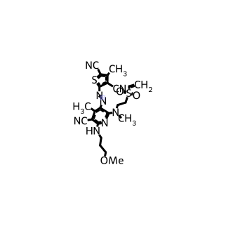 C=CS(=O)(=O)CCN(C)c1nc(NCCCOC)c(C#N)c(C)c1/N=N/c1sc(C#N)c(C)c1C#N